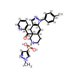 Cn1cc(S(=O)(=O)N2CCC3=Cc4c(cnn4-c4ccc(F)cc4)CC3(C(=O)c3ccccn3)C2)cn1